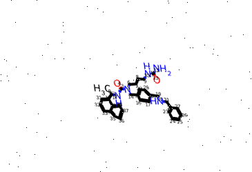 C[C@H](NC(=O)N(CCCCNC(N)=O)Cc1ccc(CNCc2ccccc2)cc1)c1cccc2ccccc12